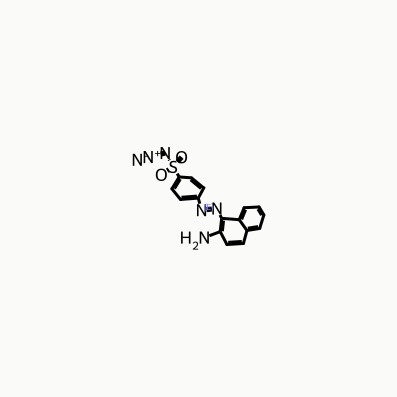 [N-]=[N+]=NS(=O)(=O)c1ccc(/N=N/c2c(N)ccc3ccccc23)cc1